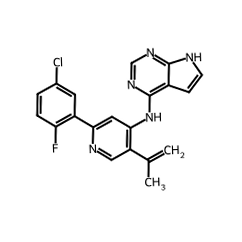 C=C(C)c1cnc(-c2cc(Cl)ccc2F)cc1Nc1ncnc2[nH]ccc12